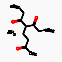 CCCCCCCCCCCC(=O)C(CCC(=O)OC(C)=O)C(=O)CCCCCCCCCCC.[AlH3]